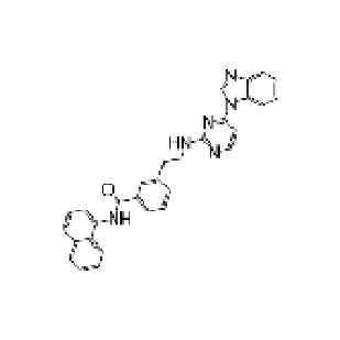 O=C(Nc1cccc2ccccc12)c1cccc(CCNc2nccc(-n3cnc4ccccc43)n2)c1